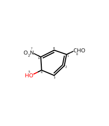 O=CC1=C=CC(O)C([N+](=O)[O-])=C1